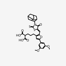 COc1cc(OC)cc(-c2cc(CCCC(C(=O)O)C(=O)O)c(/C=C3\SC(=S)N(C4C5CC6CC(C5)CC4C6)C3=O)o2)c1